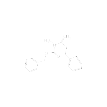 C=C(CCc1ccccc1)N(C)C(=O)OCc1ccccc1